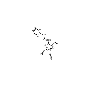 CCc1nc(C#N)c(C#N)nc1NCCc1ccccc1